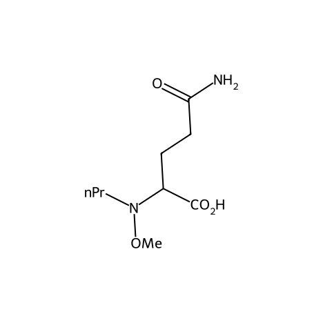 CCCN(OC)C(CCC(N)=O)C(=O)O